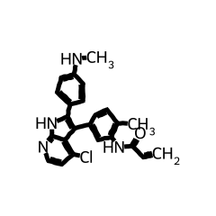 C=CC(=O)Nc1cc(-c2c(-c3ccc(NC)cc3)[nH]c3nccc(Cl)c23)ccc1C